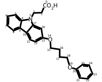 O=C(O)CCn1c2ccccc2c2ccc(OCCCCOc3ccccc3)cc21